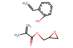 C=C(C)C(=O)OCC1CO1.C=Cc1ccccc1O